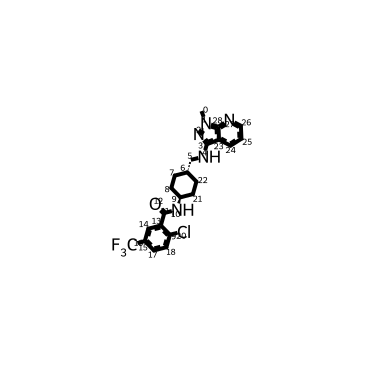 Cn1nc(NC[C@H]2CC[C@H](NC(=O)c3cc(C(F)(F)F)ccc3Cl)CC2)c2cccnc21